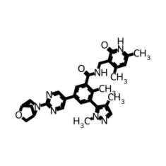 Cc1cc(C)c(CNC(=O)c2cc(-c3cnc(N4C=C5CC4CO5)nc3)cc(-c3c(C)cnn3C)c2C)c(=O)[nH]1